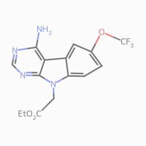 CCOC(=O)Cn1c2ccc(OC(F)(F)F)cc2c2c(N)ncnc21